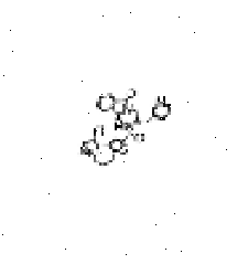 O=C(N[C@@H](Cc1cccnc1)CN1C(=O)c2ccccc2C1=O)c1cc2c(s1)CCCn1ncc(Cl)c1-2